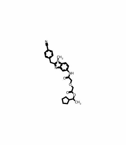 CC(OC(=O)COCC(=O)Nc1ccc2c(c1)nc(Cc1ccc(C#N)cc1)n2C)C1CCCC1